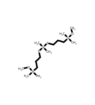 CO[Si](C)(C)CCCS[Si](C)(C)SCCC[Si](C)(P)OC